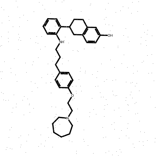 Oc1ccc2c(c1)CCC(c1ccccc1NCCCc1ccc(OCCN3CCCCCC3)cc1)C2